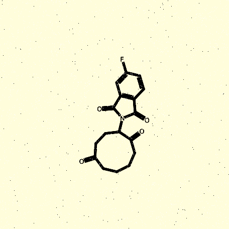 O=C1CCCCC(=O)C(N2C(=O)c3ccc(F)cc3C2=O)CC1